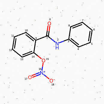 O=C(Nc1ccccc1)c1ccccc1O[N+](=O)[O-]